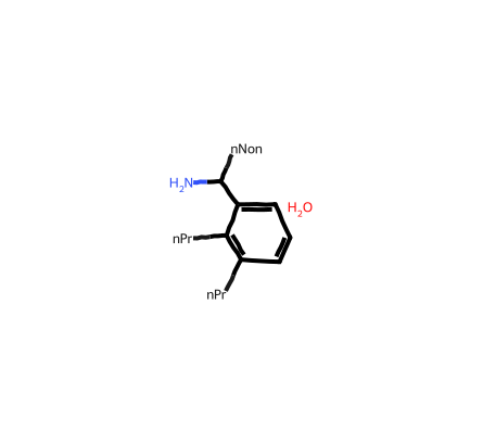 CCCCCCCCCC(N)c1cccc(CCC)c1CCC.O